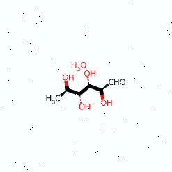 C[C@@H](O)[C@@H](O)[C@H](O)[C@H](O)C=O.O